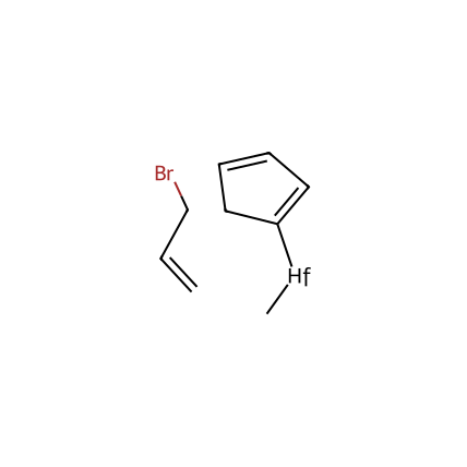 C=CCBr.[CH3][Hf][C]1=CC=CC1